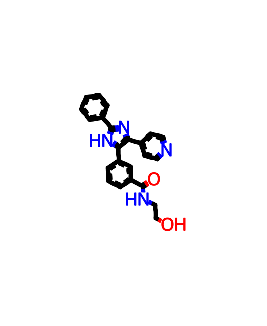 O=C(NCCO)c1cccc(-c2[nH]c(-c3ccccc3)nc2-c2ccncc2)c1